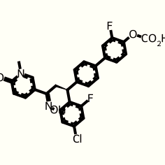 Cn1cc(/C(C[C@@H](c2ccc(-c3ccc(OC(=O)O)c(F)c3)cc2)c2ccc(Cl)cc2F)=N/O)ccc1=O